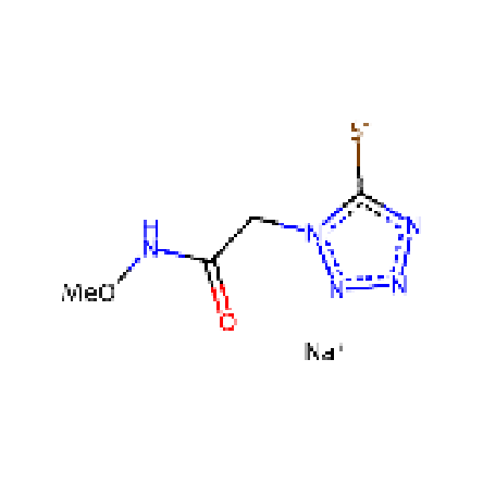 CONC(=O)Cn1nnnc1[S-].[Na+]